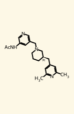 CC(=O)Nc1cncc(CN2CCC[C@H](Cc3cc(C)nc(C)c3)C2)c1